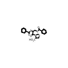 O=C(SCC(SC(=O)c1ccccc1)C(=O)N1CSCC1C(=O)O)c1ccccc1